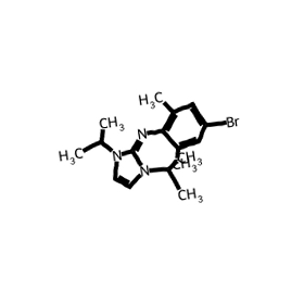 Cc1cc(Br)cc(C)c1N=c1n(C(C)C)ccn1C(C)C